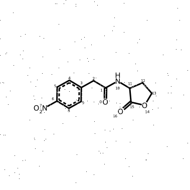 O=C(Cc1ccc([N+](=O)[O-])cc1)NC1CCOC1=O